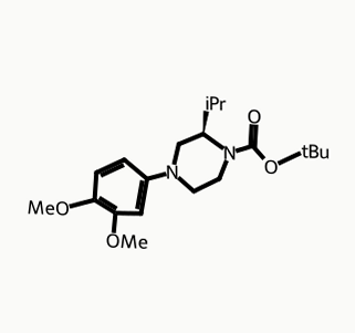 COc1ccc(N2CCN(C(=O)OC(C)(C)C)[C@H](C(C)C)C2)cc1OC